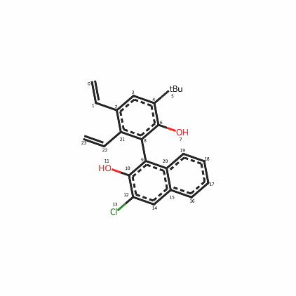 C=Cc1cc(C(C)(C)C)c(O)c(-c2c(O)c(Cl)cc3ccccc23)c1C=C